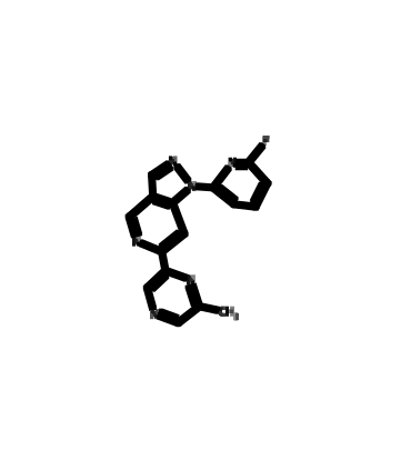 Cc1cncc(-c2cc3c(cn2)cnn3-c2cc[c]c(F)n2)n1